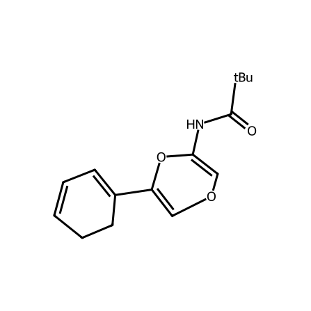 CC(C)(C)C(=O)NC1=COC=C(C2=CC=CCC2)O1